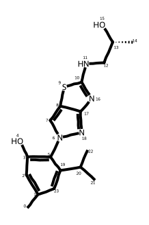 Cc1cc(O)c(-n2cc3sc(NC[C@@H](C)O)nc3n2)c(C(C)C)c1